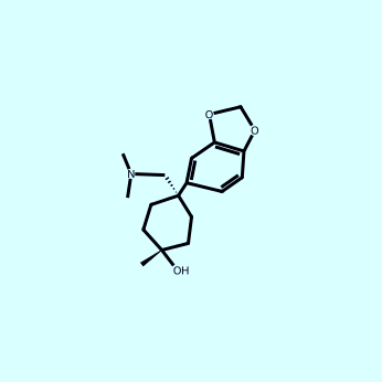 CN(C)C[C@]1(c2ccc3c(c2)OCO3)CC[C@](C)(O)CC1